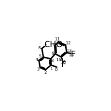 Cc1cccc(CC=O)c1-c1cccc(F)c1F